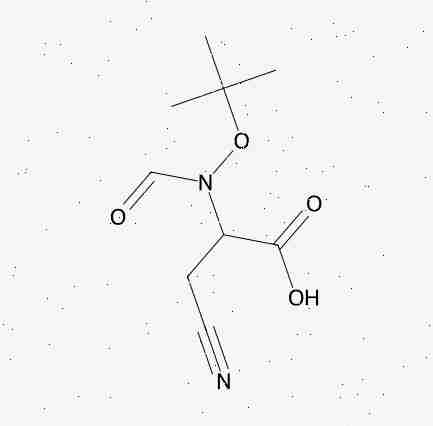 CC(C)(C)ON(C=O)C(CC#N)C(=O)O